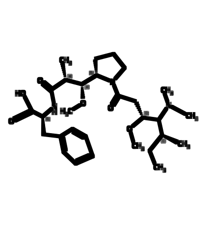 CC[C@H](C)C([C@@H](CC(=O)N1CCC[C@H]1[C@H](OC)[C@@H](C)C(=O)N[C@@H](Cc1ccccc1)C(=O)O)OC)N(C)C